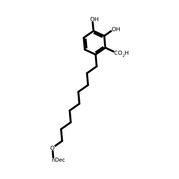 CCCCCCCCCCOCCCCCCCCCc1ccc(O)c(O)c1C(=O)O